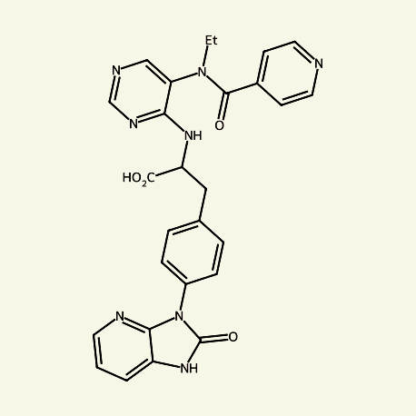 CCN(C(=O)c1ccncc1)c1cncnc1NC(Cc1ccc(-n2c(=O)[nH]c3cccnc32)cc1)C(=O)O